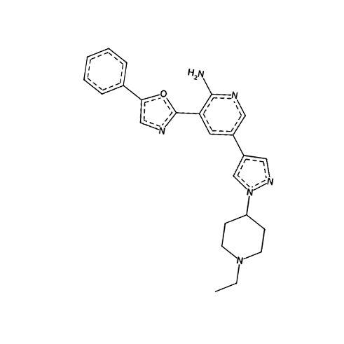 CCN1CCC(n2cc(-c3cnc(N)c(-c4ncc(-c5ccccc5)o4)c3)cn2)CC1